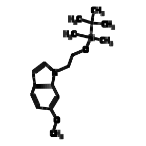 COc1ccc2ccn(CCO[Si](C)(C)C(C)(C)C)c2c1